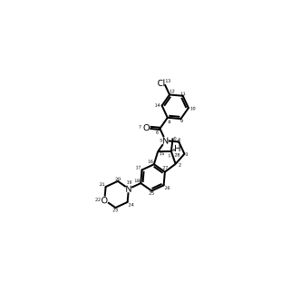 C[C@H]1C2CCN(C(=O)c3cccc(Cl)c3)C1c1cc(N3CCOCC3)ccc12